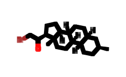 C[C@H]1CC[C@H]2[C@@H](CC[C@@H]3[C@@H]2CC[C@]2(C)[C@@H](C(=O)CBr)CC[C@@H]32)C1